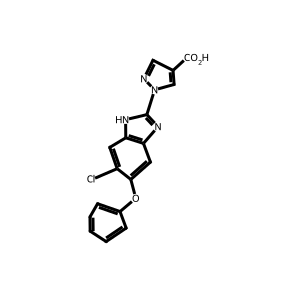 O=C(O)c1cnn(-c2nc3cc(Oc4ccccc4)c(Cl)cc3[nH]2)c1